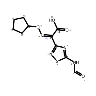 O=CNc1nc(/C(=N/OC2CCCC2)C(=O)O)ns1